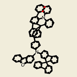 c1ccc(-c2ccc3c4c2N(c2ccccc2)c2ccccc2C4(c2ccccc2)c2cc(-c4ccc(N(c5ccc6c(c5)C5(c7ccccc7-c7ccccc75)c5ccccc5-6)c5ccc6oc7ccccc7c6c5)cc4)ccc2-3)cc1